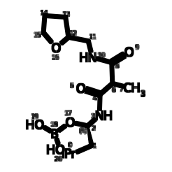 CC(C)C[C@H](NC(=O)C(C)C(=O)NCC1CCCO1)OB(O)O